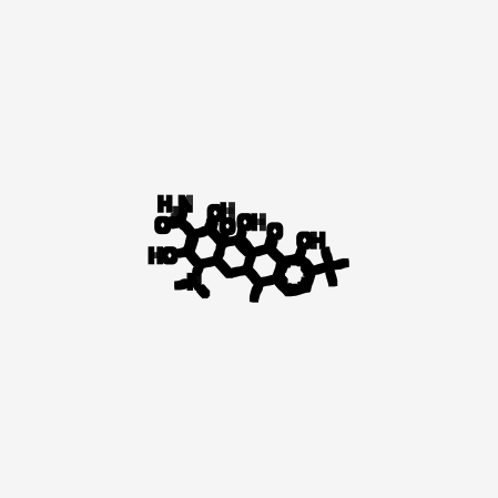 CC1c2ccc(C(C)(C)C)c(O)c2C(=O)C2=C(O)C3(O)C(=O)C(C(N)=O)=C(O)C(N(C)C)C3CC21